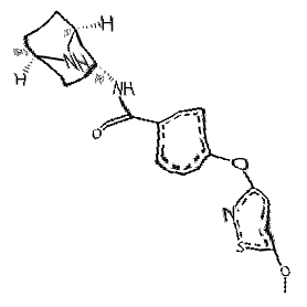 COc1cc(Oc2ccc(C(=O)N[C@@H]3C[C@H]4CC[C@@H]3N4)cc2)ns1